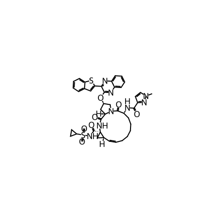 Cn1ccc(C(=O)N[C@H]2CCCCC/C=C\[C@@H]3C[C@@]3(C(=O)NS(=O)(=O)C3CC3)NC(=O)[C@@H]3C[C@@H](Oc4nc5ccccc5nc4-c4cc5ccccc5s4)CN3C2=O)n1